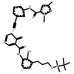 Cc1cc(C(=O)Nc2cccc(C#C[C@H]3C=NC=C(C(=O)Nc4cccc(CCCO[Si](C)(C)C(C)(C)C)c4O)C3=S)c2)n(C)n1